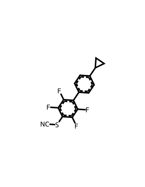 N#CSc1c(F)c(F)c(-c2ccc(C3CC3)cc2)c(F)c1F